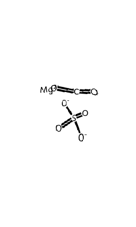 O=C=O.O=S(=O)([O-])[O-].[Mg+2]